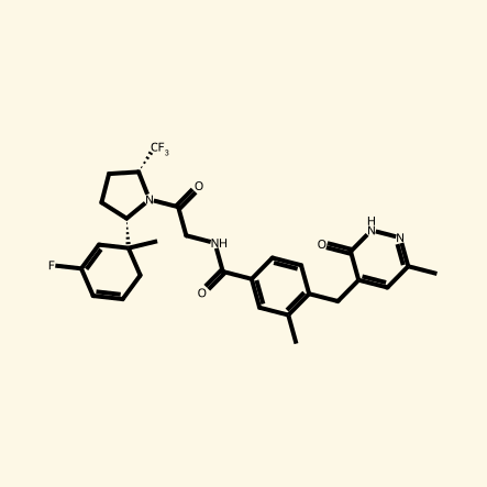 Cc1cc(Cc2ccc(C(=O)NCC(=O)N3[C@H](C4(C)C=C(F)C=CC4)CC[C@@H]3C(F)(F)F)cc2C)c(=O)[nH]n1